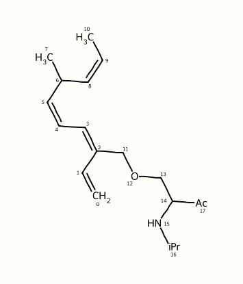 C=C/C(=C\C=C/C(C)/C=C\C)COCC(NC(C)C)C(C)=O